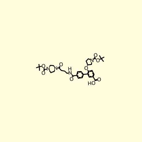 CC(C)(C)OC(=O)N1CCN(C(=O)CCCNC(=O)c2ccc(-c3cc(C(=O)O)ccc3O[C@H]3CCN(C(=O)OC(C)(C)C)C3)cc2)CC1